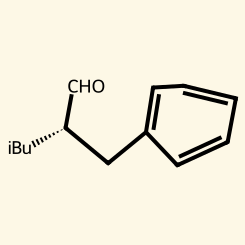 CCC(C)[C@H](C=O)Cc1ccccc1